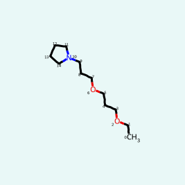 CCOCCCOCCCN1CCCC1